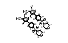 Cc1c(-c2ccc(S(=O)(=O)N3CCOCC3)cc2)nn(C)c1O.Cc1c(-c2ccc(S(=O)(=O)N3CCOCC3)cc2)nn(C)c1O